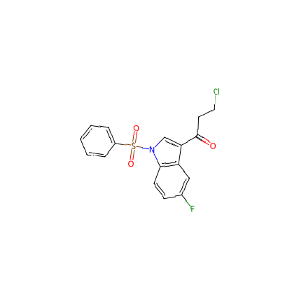 O=C(CCCl)c1cn(S(=O)(=O)c2ccccc2)c2ccc(F)cc12